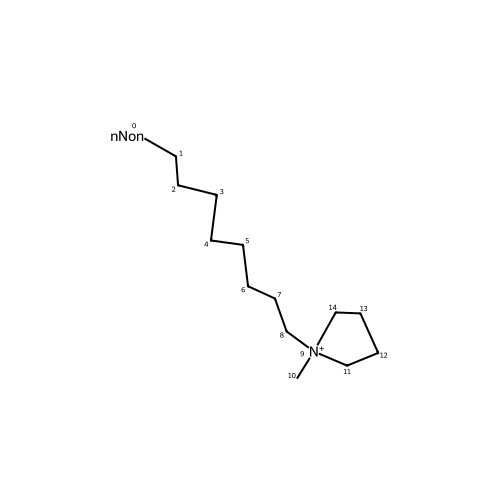 CCCCCCCCCCCCCCCCC[N+]1(C)CCCC1